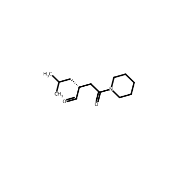 CC(C)C[C@@H]([C]=O)CC(=O)N1CCCCC1